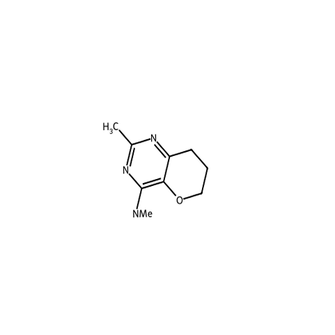 CNc1nc(C)nc2c1OCCC2